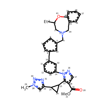 CCC1CN(Cc2cccc(-c3cccc(-n4ncc(C(=O)OC)c4C4CC4c4cn(C)nn4)c3)c2)Cc2ccccc2O1